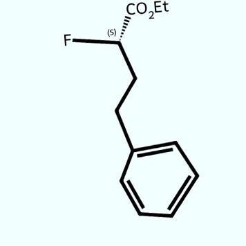 CCOC(=O)[C@@H](F)CCc1ccccc1